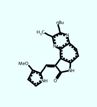 CCCCc1nc2ccc3c(c2nc1C)/C(=C/c1[nH]ccc1OC)C(=O)N3